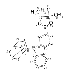 CC1OB(c2ccc3c(c2)C(C2C4CC5CC(C4)CC2C5)c2ccccc2-3)OC1(C)C